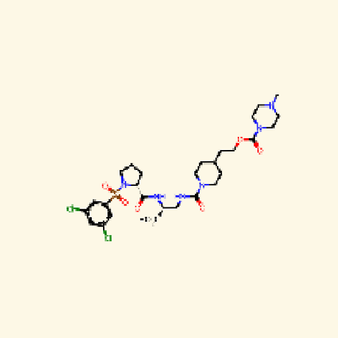 CN1CCN(C(=O)OCCC2CCN(C(=O)NC[C@H](NC(=O)[C@H]3CCCN3S(=O)(=O)c3cc(Cl)cc(Cl)c3)C(=O)O)CC2)CC1